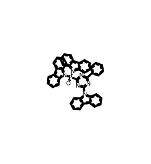 O=P(c1nc(-c2ccccc2)nc(-n2c3ccccc3c3ccccc32)n1)(n1c2ccccc2c2ccccc21)n1c2ccccc2c2ccccc21